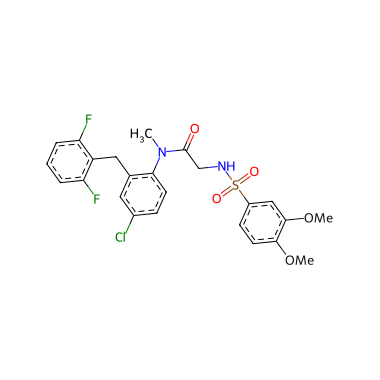 COc1ccc(S(=O)(=O)NCC(=O)N(C)c2ccc(Cl)cc2Cc2c(F)cccc2F)cc1OC